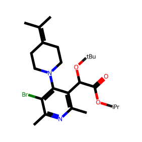 CC(C)=C1CCN(c2c(Br)c(C)nc(C)c2C(OC(C)(C)C)C(=O)OC(C)C)CC1